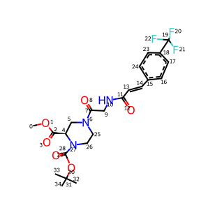 COC(=O)[C@H]1CN(C(=O)CNC(=O)/C=C/c2ccc(C(F)(F)F)cc2)CCN1C(=O)OC(C)(C)C